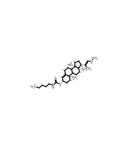 CCCCCNC(=O)O[C@@H]1C=C2CCC3C(CC[C@]4(C)[C@@H](/C(C)=C/OC)CC[C@]34O)[C@@]2(C)CC1